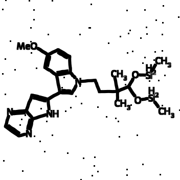 COc1ccc2c(c1)c(-c1cc3nccnc3[nH]1)cn2CCC(C)(C)C(O[SiH2]C)O[SiH2]C